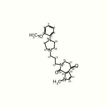 COc1ccccc1N1CCN(CCCN2CCC(=O)c3ccn(C)c3C2=O)CC1